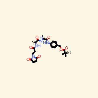 CCC(C)(C)C(=O)OCc1ccc(NC(=O)[C@H](C)NC(=O)[C@H](C)NC(=O)CCN2C(=O)C=CC2=O)cc1